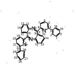 c1ccc(-c2cccc(/C3=N/c4ccccc4/C(c4cccc(-c5ccccc5)n4)=N\c4ccccc43)n2)cc1